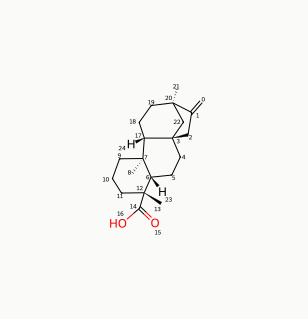 C=C1C[C@@]23CC[C@H]4[C@@](C)(CCC[C@@]4(C)C(=O)O)[C@@H]2CC[C@]1(C)C3